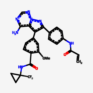 C=CC(=O)Nc1ccc(-c2nn3ncnc(N)c3c2-c2ccc(C(=O)NC3(C(F)(F)F)CC3)c(OC)c2)cc1